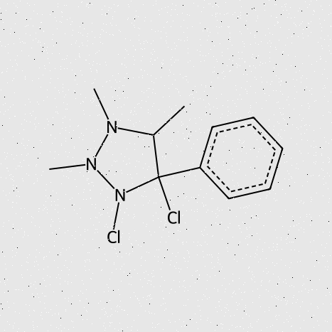 CC1N(C)N(C)N(Cl)C1(Cl)c1ccccc1